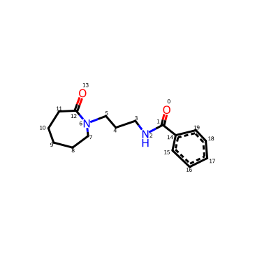 O=C(NCCCN1CCCCCC1=O)c1ccccc1